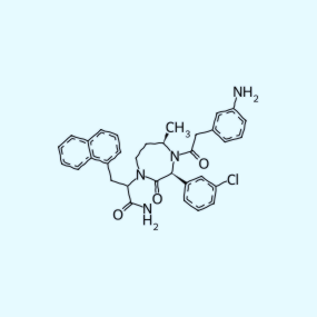 C[C@@H]1CCN(C(Cc2cccc3ccccc23)C(N)=O)C(=O)[C@H](c2cccc(Cl)c2)N1C(=O)Cc1cccc(N)c1